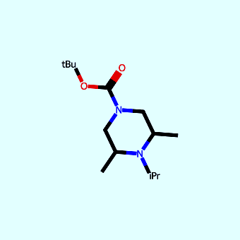 CC(C)N1C(C)CN(C(=O)OC(C)(C)C)CC1C